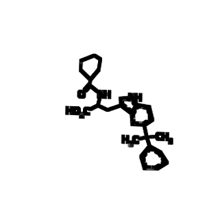 CC(C)(c1ccccc1)c1ccc2[nH]cc(CC(NC(=O)C3CCCCC3)C(=O)O)c2c1